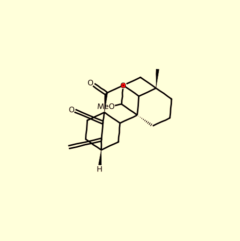 C=C1C(=O)[C@]23CC[C@H]1CC2[C@@]12CCC[C@@](C)(COC1OC)C2CC3=O